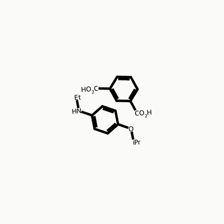 CCNc1ccc(OC(C)C)cc1.O=C(O)c1cccc(C(=O)O)c1